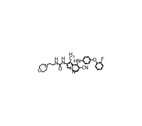 Cc1c(NC(=O)NCCN2CCOCC2)cn2ncc(C#N)c(Nc3ccc(Oc4ccccc4F)cc3)c12